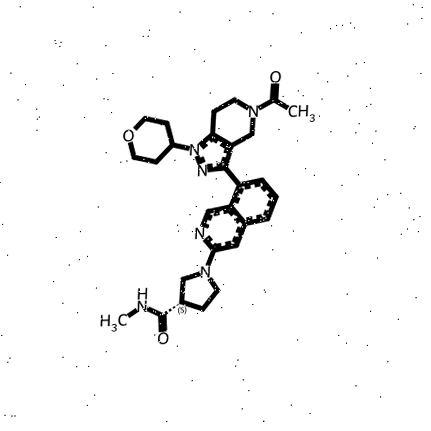 CNC(=O)[C@H]1CCN(c2cc3cccc(-c4nn(C5CCOCC5)c5c4CN(C(C)=O)CC5)c3cn2)C1